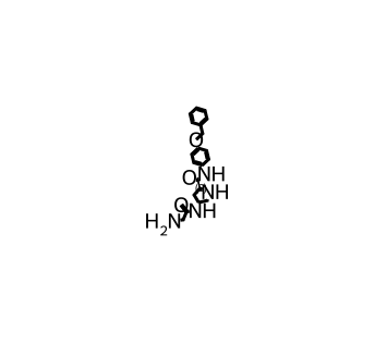 NCC(=O)NC1CN[C@H](C(=O)Nc2ccc(OCc3ccccc3)cc2)C1